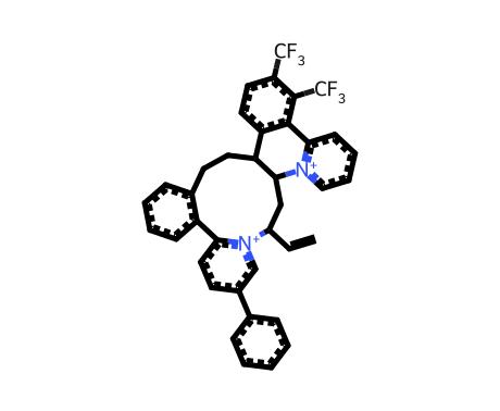 C=CC1CC2C(CCc3ccccc3-c3ccc(-c4ccccc4)c[n+]31)c1ccc(C(F)(F)F)c(C(F)(F)F)c1-c1cccc[n+]12